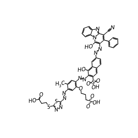 Cc1cc(N=Nc2c(S(=O)(=O)O)cc3ccc(N=Nc4c(-c5ccccc5)c(C#N)c5nc6ccccc6n5c4O)cc3c2O)c(OCCCS(=O)(=O)O)cc1N=Nc1nnc(SCCC(=O)O)s1